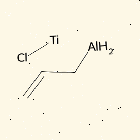 C=C[CH2][AlH2].[Cl][Ti]